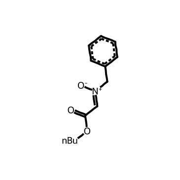 CCCCOC(=O)/C=[N+](\[O-])Cc1ccccc1